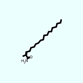 CCCCCCCCCCCCCCCCC=C(C)C(N)=O